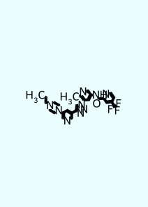 CCCN1CCN(c2cncc(-c3cn(-c4cc(NC(=O)c5cc(C(F)(F)F)ccn5)cnc4C)nn3)c2)CC1